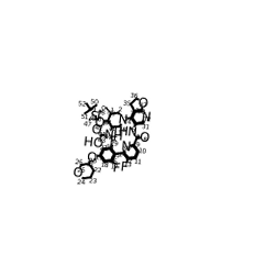 C[C@H]1CN(c2c(NC(=O)c3ccc(F)c(-c4c(F)cc(OC5CCCOC5)cc4F)n3)cnc3c2CCO3)C[C@@H](NC(=O)O)[C@H]1O[Si](C)(C)C(C)(C)C